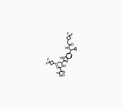 Cc1nonc1C(=O)NC(COC1CC(F)(F)C1)c1nc2ccc(C(NC(=O)CC3CC(F)(F)C3)C3CC3)cc2[nH]1